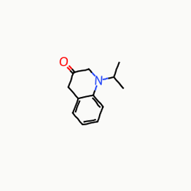 CC(C)N1CC(=O)Cc2ccccc21